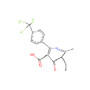 CCC1C(=O)C(C(=O)O)=C(c2ccc(C(F)(F)F)cc2)N=C1C